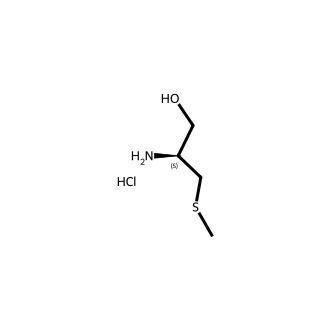 CSC[C@@H](N)CO.Cl